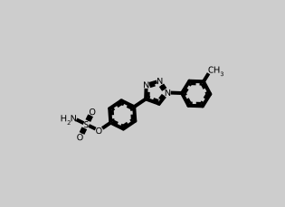 Cc1cccc(-n2cc(-c3ccc(OS(N)(=O)=O)cc3)nn2)c1